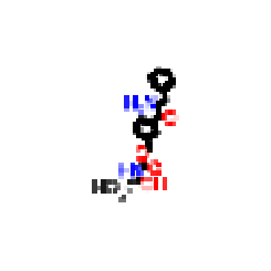 N[C@@H](Cc1ccccc1)C(=O)c1cccc(COC(=O)NC(O)C(=O)O)c1